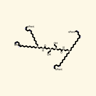 CCCCC/C=C\C/C=C\CCCCCCCCN(CCCCCCCC/C=C\C/C=C\CCCCC)CCNC(=O)CCN(CCO)CCN(CCO)CCC(=O)NCCN(CCCCCCCC/C=C\C/C=C\CCCCC)CCCCCCCC/C=C\C/C=C\CCCCC